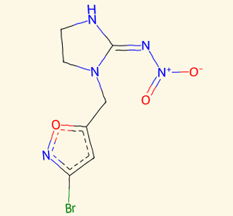 O=[N+]([O-])N=C1NCCN1Cc1cc(Br)no1